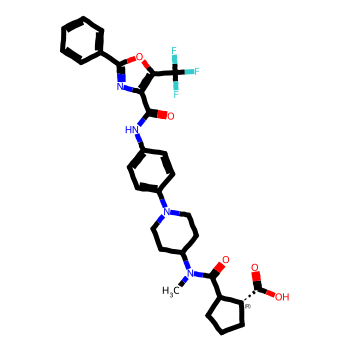 CN(C(=O)C1CCC[C@H]1C(=O)O)C1CCN(c2ccc(NC(=O)c3nc(-c4ccccc4)oc3C(F)(F)F)cc2)CC1